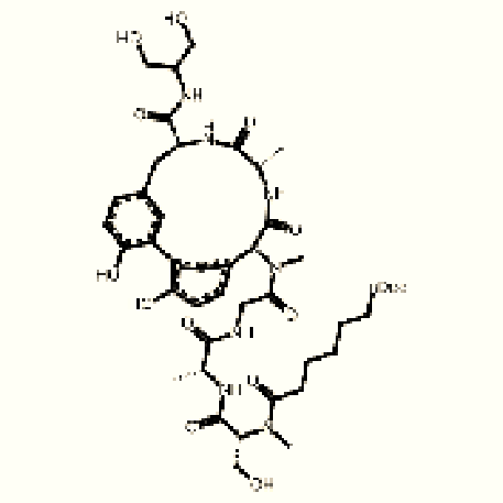 CCCCCCCCCCCCCCCC(=O)N(C)[C@H](CO)C(=O)N[C@H](C)C(=O)NCC(=O)N(C)[C@@H]1C(=O)N[C@@H](C)C(=O)N[C@H](C(=O)NC(CO)CO)Cc2ccc(O)c(c2)-c2cc1ccc2O